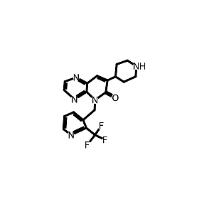 O=c1c(C2CCNCC2)cc2nccnc2n1Cc1cccnc1C(F)(F)F